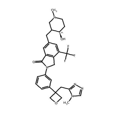 CN1CC[C@@H](O)C(Cc2cc3c(c(C(F)(F)F)c2)CN(c2cccc(C4(Cc5nncn5C)COC4)c2)C3=O)C1